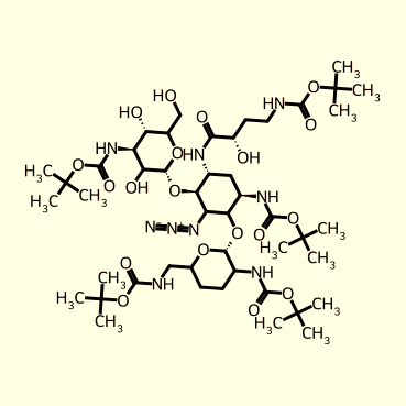 CC(C)(C)OC(=O)NCC[C@H](O)C(=O)N[C@@H]1C[C@@H](NC(=O)OC(C)(C)C)C(O[C@H]2OC(CNC(=O)OC(C)(C)C)CCC2NC(=O)OC(C)(C)C)C(N=[N+]=[N-])[C@H]1O[C@H]1OC(CO)[C@@H](O)[C@H](NC(=O)OC(C)(C)C)C1O